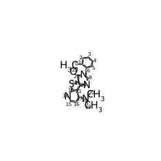 Cc1ccccc1-n1cnc2c(sc3nccc(N(C)C)c32)c1=O